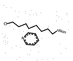 CCCCCCCCCCCCCCCCCCl.c1ccncc1